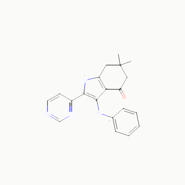 CC1(C)CC(=O)c2c([nH]c(-c3ccncn3)c2Nc2ccccc2)C1